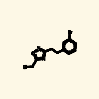 ClCc1nc(CCc2cccc(Br)c2)no1